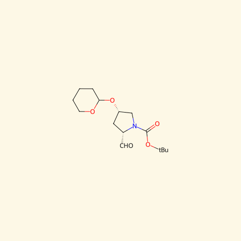 CC(C)(C)OC(=O)N1C[C@@H](OC2CCCCO2)C[C@H]1C=O